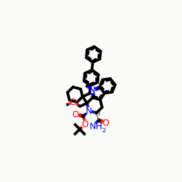 COCC1(C2(Cc3ccc(-c4ccccc4)cc3)CCCCC2)c2c(c3ccccc3n2C)C[C@H](C(N)=O)N1C(=O)OC(C)(C)C